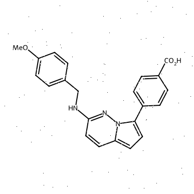 COc1ccc(CNc2ccc3ccc(-c4ccc(C(=O)O)cc4)n3n2)cc1